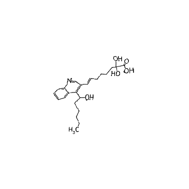 CCCCCC(O)c1c(/C=C/CCCCC(O)(O)C(=O)O)cnc2ccccc12